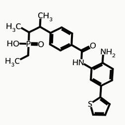 CCP(=O)(O)C(C)C(C)c1ccc(C(=O)Nc2cc(-c3cccs3)ccc2N)cc1